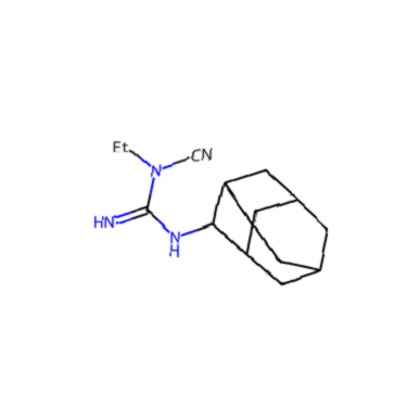 CCN(C#N)C(=N)NC1C2CC3CC(C2)CC1C3